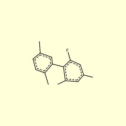 Cc1cc(C)c(-c2cc(C)ccc2C)c(F)c1